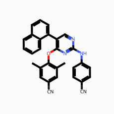 Cc1cc(C#N)cc(C)c1Oc1nc(Nc2ccc(C#N)cc2)ncc1-c1cccc2ccccc12